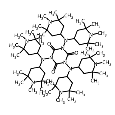 CN1C(C)(C)CC(N(C2CC(C)(C)N(C)C(C)(C)C2)n2c(=O)n(N(C3CC(C)(C)N(C)C(C)(C)C3)C3CC(C)(C)N(C)C(C)(C)C3)c(=O)n(N(C3CC(C)(C)N(C)C(C)(C)C3)C3CC(C)(C)N(C)C(C)(C)C3)c2=O)CC1(C)C